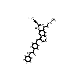 CC#CC(=O)Nc1cc2c(Oc3ccc(C(=O)Nc4ccccn4)cc3)ccnc2cc1OCCOC